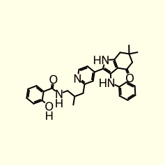 CC(CNC(=O)c1ccccc1O)Cc1cc(-c2[nH]c3c(c2Nc2ccccc2)C(=O)CC(C)(C)C3)ccn1